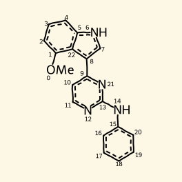 COc1cccc2[nH]cc(-c3ccnc(Nc4ccccc4)n3)c12